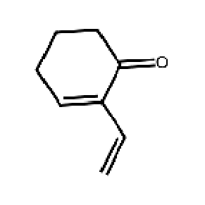 C=CC1=CCCCC1=O